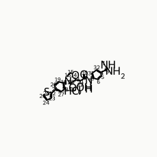 Cl.N=C(N)c1ccc(NC(=O)[C@H](O)[C@H]2OCCN(c3ccc(-c4cccs4)cc3)C2=O)cc1